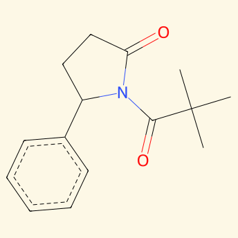 CC(C)(C)C(=O)N1C(=O)CCC1c1ccccc1